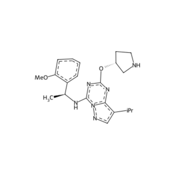 COc1ccccc1[C@H](C)Nc1nc(O[C@@H]2CCNC2)nc2c(C(C)C)cnn12